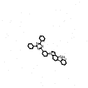 c1ccc(-c2nc(-c3ccccc3)nc(-c3cccc(-n4ccc5c6c(ccc54)-c4ccccc4[SiH2]6)c3)n2)cc1